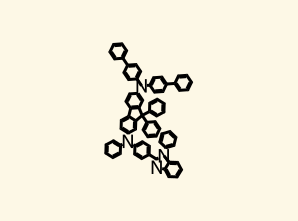 c1ccc(-c2ccc(N(c3ccc(-c4ccccc4)cc3)c3ccc4c(c3)C(c3ccccc3)(c3ccccc3)c3cc(N(c5ccccc5)c5ccc(-c6nc7ccccc7n6-c6ccccc6)cc5)ccc3-4)cc2)cc1